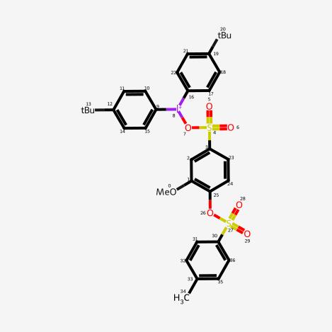 COc1cc(S(=O)(=O)O[I+](c2ccc(C(C)(C)C)cc2)c2ccc(C(C)(C)C)cc2)ccc1OS(=O)(=O)c1ccc(C)cc1